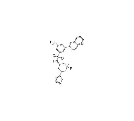 O=S(=O)(N[C@@H]1C[C@H](n2cnnc2)CC(F)(F)C1)c1cc(-c2ccc3ncccc3c2)cc(C(F)(F)F)c1